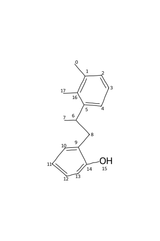 Cc1cccc(C(C)Cc2ccccc2O)c1C